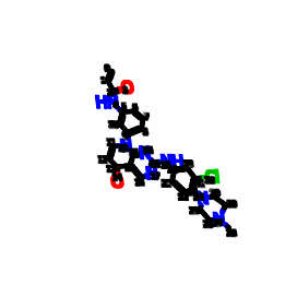 C=CC(=O)Nc1cccc(-n2ccc(=O)c3cnc(Nc4ccc(N5CCN(C)CC5)c(Cl)c4)nc32)c1